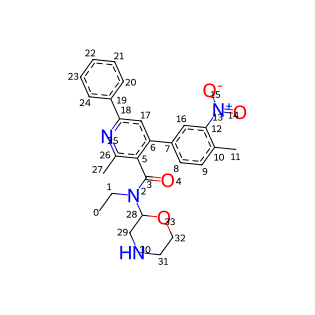 CCN(C(=O)c1c(-c2ccc(C)c([N+](=O)[O-])c2)cc(-c2ccccc2)nc1C)C1CNCCO1